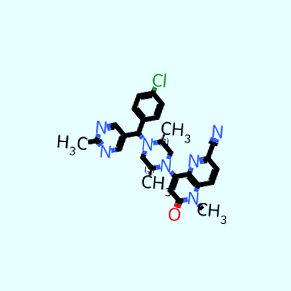 Cc1ncc(C(c2ccc(Cl)cc2)N2C[C@H](C)N(c3cc(=O)n(C)c4ccc(C#N)nc34)C[C@H]2C)cn1